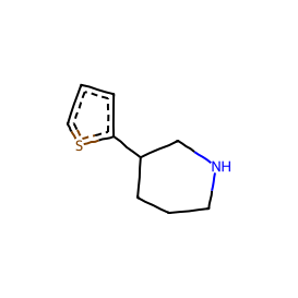 c1csc(C2CCCNC2)c1